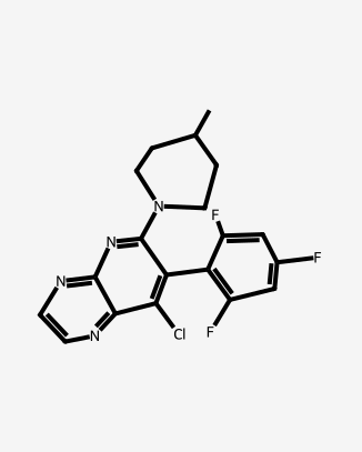 CC1CCN(c2nc3nccnc3c(Cl)c2-c2c(F)cc(F)cc2F)CC1